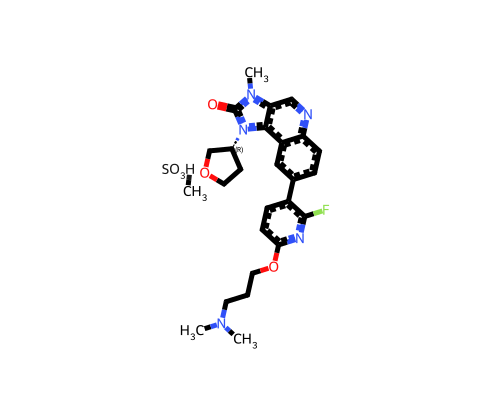 CN(C)CCCOc1ccc(-c2ccc3ncc4c(c3c2)n([C@@H]2CCOC2)c(=O)n4C)c(F)n1.CS(=O)(=O)O